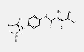 CC(C)C(=N)/C(Cl)=C(\N)C(=O)Nc1ccc([C@@H]2O[C@H]3CN[C@@H]2C3)cc1